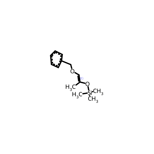 C/C(=C\OCc1ccccc1)O[Si](C)(C)C